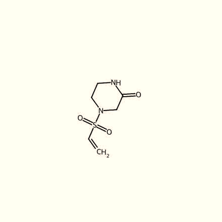 C=CS(=O)(=O)N1CCNC(=O)C1